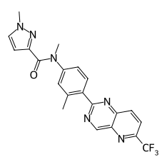 Cc1cc(N(C)C(=O)c2ccn(C)n2)ccc1-c1ncc2nc(C(F)(F)F)ccc2n1